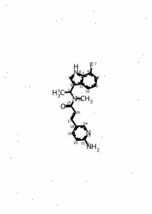 CC(c1c[nH]c2c(F)cccc12)N(C)C(=O)C=Cc1ccc(N)nc1